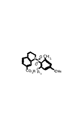 COc1cc(C)c(S(=O)(=O)N2CCCc3ccc(C(=O)O)cc32)c(C)c1